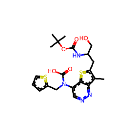 Cc1c(CC(CO)NC(=O)OC(C)(C)C)sc2c(N(Cc3cccs3)C(=O)O)cnnc12